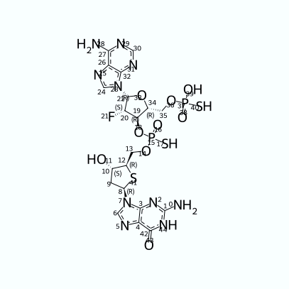 Nc1nc2c(ncn2[C@H]2C[C@H](O)[C@@H](COP(=O)(S)O[C@H]3[C@H](F)[C@H](n4cnc5c(N)ncnc54)O[C@@H]3COP(=O)(O)S)S2)c(=O)[nH]1